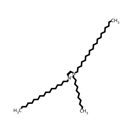 CCCCCCCCCCCCCCCCCCCn1cc[n+](CCCCCCCCCCCCCCCCC)c1CCCCCCCCCC